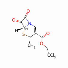 CC1S[C@@H]2C(=O)C(=O)N2C=C1C(=O)OCC(Cl)(Cl)Cl